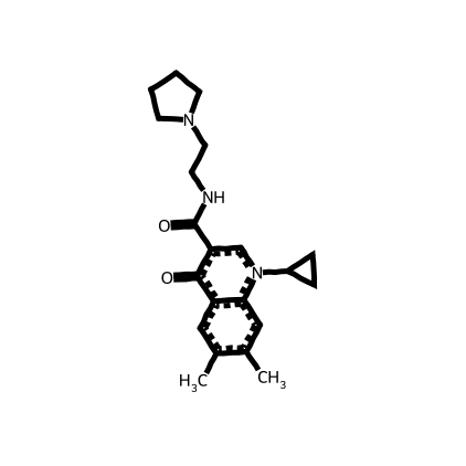 Cc1cc2c(=O)c(C(=O)NCCN3CCCC3)cn(C3CC3)c2cc1C